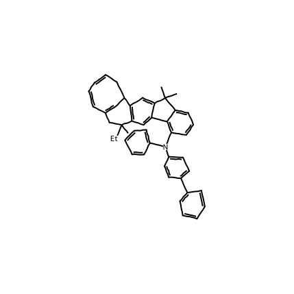 CCC1(C)CC2=CC(C/C=C\C=C/2)c2cc3c(cc21)-c1c(N(c2ccccc2)c2ccc(-c4ccccc4)cc2)cccc1C3(C)C